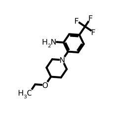 CCOC1CCN(c2ccc(C(F)(F)F)cc2N)CC1